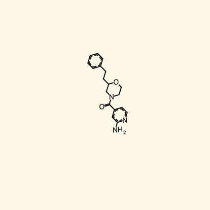 Nc1cc(C(=O)N2CCOC(CCc3ccccc3)C2)ccn1